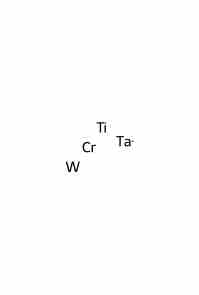 [Cr].[Ta].[Ti].[W]